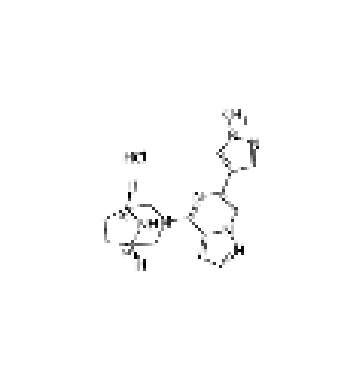 Cl.Cn1cc(-c2cn3nccc3c(N3C[C@H]4CC[C@@H](C3)N4)n2)cn1